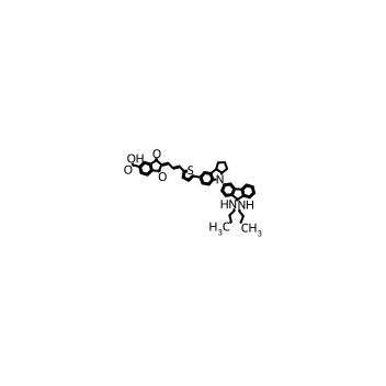 CCCCNC1(NCCCC)c2ccccc2-c2cc(N3c4ccc(-c5ccc(/C=C/C=C6\C(=O)c7ccc(C(=O)O)cc7C6=O)s5)cc4C4CCCC43)ccc21